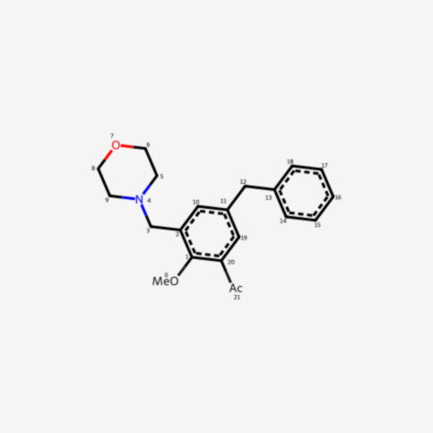 COc1c(CN2CCOCC2)cc(Cc2ccccc2)cc1C(C)=O